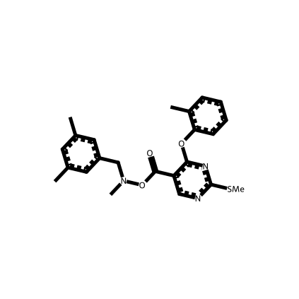 CSc1ncc(C(=O)ON(C)Cc2cc(C)cc(C)c2)c(Oc2ccccc2C)n1